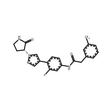 O=C(Cc1cccc(C(F)(F)F)c1)Nc1ccc(-c2cnn([C@@H]3CCNC3=O)c2)c(F)c1